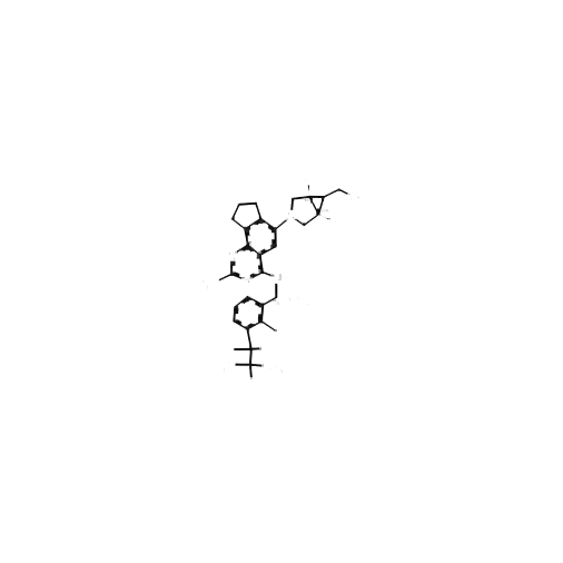 Cc1nc(N[C@H](C)c2cccc(C(F)(F)C(C)(C)O)c2F)c2cc(N3C[C@@H]4C(CO)[C@@H]4C3)c3c(c2n1)CCC3